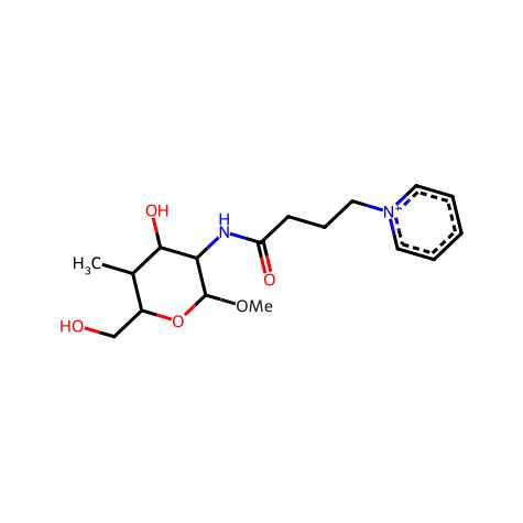 COC1OC(CO)C(C)C(O)C1NC(=O)CCC[n+]1ccccc1